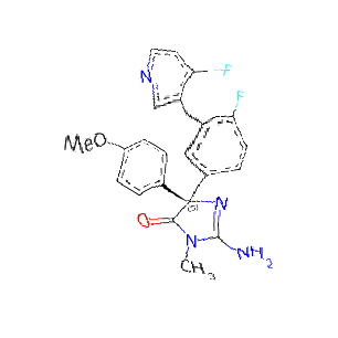 COc1ccc([C@@]2(c3ccc(F)c(-c4cnccc4F)c3)N=C(N)N(C)C2=O)cc1